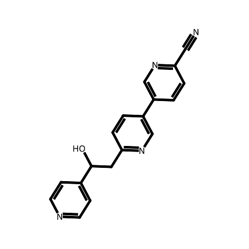 N#Cc1ccc(-c2ccc(CC(O)c3ccncc3)nc2)cn1